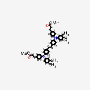 COC(=O)CCc1ccc(N(c2ccc(CCc3ccc(N(c4ccc(CCC(=O)OC)cc4)c4ccc(C)c(C)c4)cc3)cc2)c2ccc(C)c(C)c2)cc1